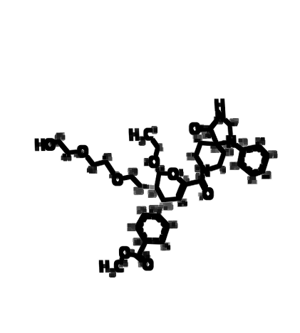 CCO[C@@H]1OC(C(=O)N2CCC3(CC2)C(=O)NCN3c2ccccc2)=C[C@H](c2ccc(C(=O)OC)cc2)[C@@H]1CCOCCOCCO